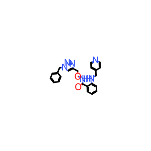 O=C(NOCc1cn(Cc2ccccc2)nn1)c1ccccc1NCc1ccncc1